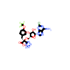 Nc1nc(Cl)nc2c1ncn2[C@@H]1O[C@H](CO[C@](Cc2ccc(OC(F)(F)F)cc2)(C(=O)O)c2nnn[nH]2)[C@@H](O)[C@H]1O